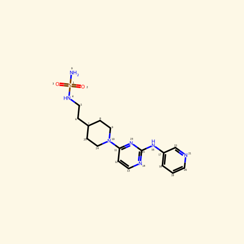 NS(=O)(=O)NCCC1CCN(c2ccnc(Nc3cccnc3)n2)CC1